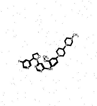 COc1cc(N2CCC(N3CCN(C)CC3)CC2)ccc1Nc1cc(N2OCCC2c2cncc(F)c2)ncn1